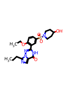 CCCc1ncc2c(=O)[nH]c(-c3cc(S(=O)(=O)N4CCC(O)CC4)ccc3OCC)nn12